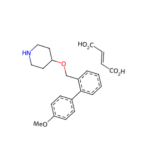 COc1ccc(-c2ccccc2COC2CCNCC2)cc1.O=C(O)C=CC(=O)O